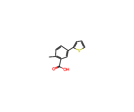 Cc1ccc(-c2cccs2)cc1C(=O)O